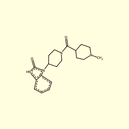 CN1CCC(C(=O)N2CCC(n3c(=O)[nH]c4ccccc43)CC2)CC1